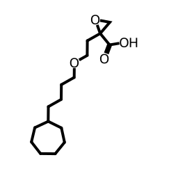 O=C(O)C1(CCOCCCCC2CCCCCC2)CO1